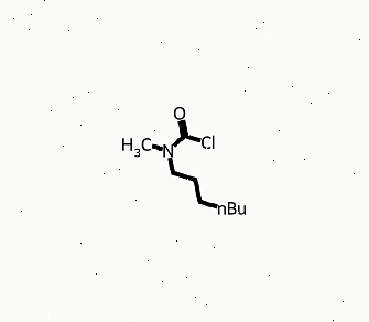 CCCCCCCN(C)C(=O)Cl